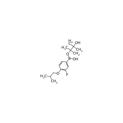 CC(C)COc1ccc(B(O)OC(C)(C)C(C)(C)O)cc1F